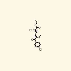 CCOC(=O)/C(O)=C/C=C(\SC)C(=O)c1ccc(Cl)cc1